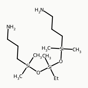 CC[Si](C)(O[Si](C)(C)CCCN)O[Si](C)(C)CCCN